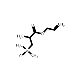 C=CCOC(=O)C(C)C[Si](C)(C)Cl